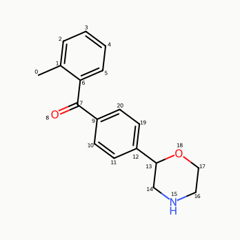 Cc1ccccc1C(=O)c1ccc(C2CNCCO2)cc1